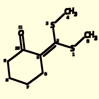 CSC(SC)=C1CCCCC1=O